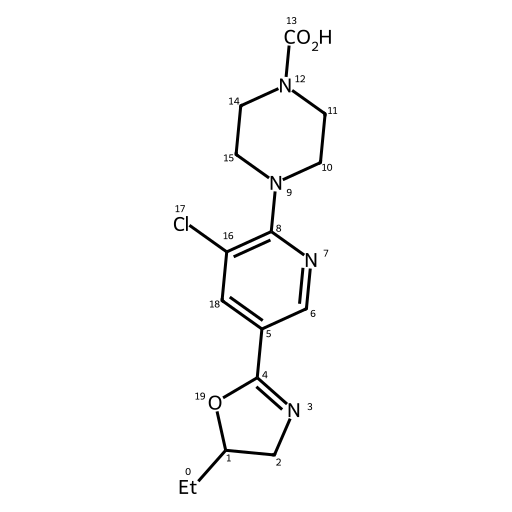 CCC1CN=C(c2cnc(N3CCN(C(=O)O)CC3)c(Cl)c2)O1